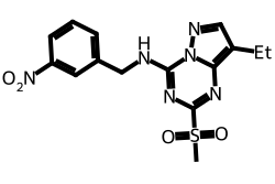 CCc1cnn2c(NCc3cccc([N+](=O)[O-])c3)nc(S(C)(=O)=O)nc12